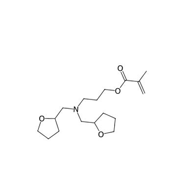 C=C(C)C(=O)OCCCN(CC1CCCO1)CC1CCCO1